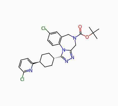 CC(C)(C)OC(=O)N1Cc2cc(Cl)ccc2-n2c(nnc2[C@H]2CC[C@H](c3cccc(Cl)n3)CC2)C1